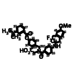 COc1ccc(CC(=O)Nc2ccc(C(=O)N(CC(=O)O)Cc3ccc(OC(=O)c4cccc(N(C)C)c4)cc3)cc2)c(C(F)(F)F)c1